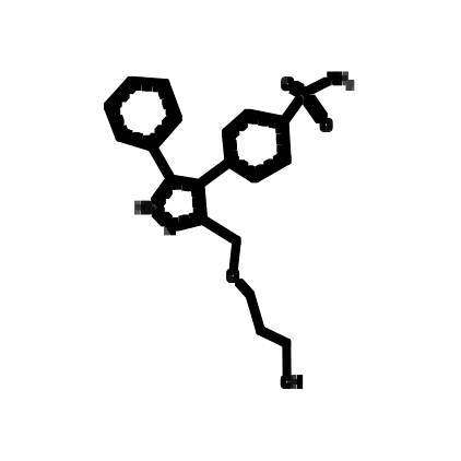 NS(=O)(=O)c1ccc(-c2c(COCCCO)n[nH]c2-c2ccccc2)cc1